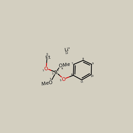 CCO[B-](OC)(OC)Oc1ccccc1.[Li+]